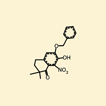 CC1(C)CCc2cc(OCc3ccccc3)c(O)c([N+](=O)[O-])c2C1=O